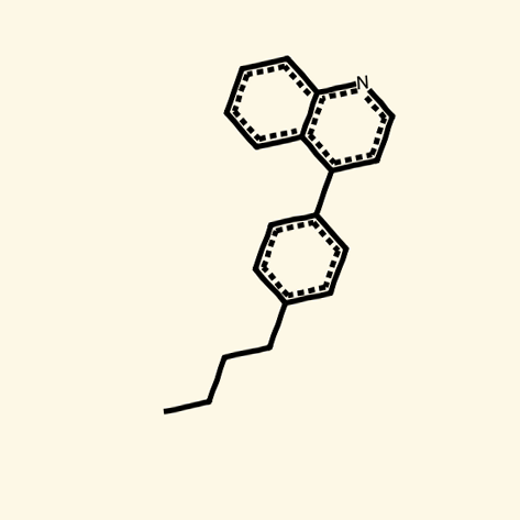 CCCCc1ccc(-c2ccnc3ccccc23)cc1